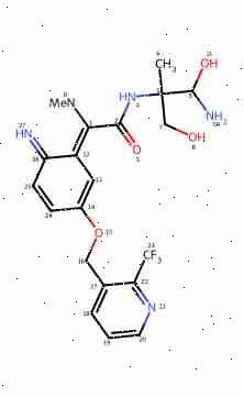 CN/C(C(=O)NC(C)(CO)C(N)O)=C1/C=C(OCc2cccnc2C(F)(F)F)C=CC1=N